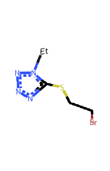 CCn1nnnc1SCCBr